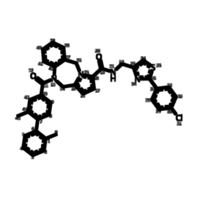 Cc1ccccc1-c1ccc(C(=O)N2Cc3ccc(C(=O)NCc4csc(-c5ccc(Cl)cc5)n4)n3Cc3ccccc32)cc1C